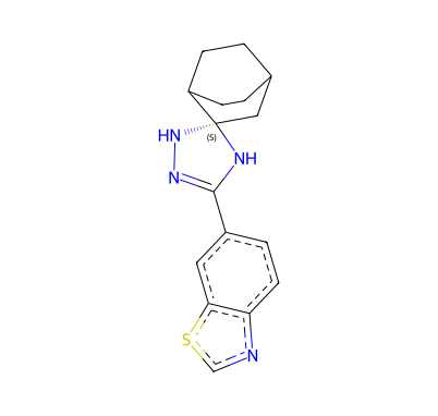 c1nc2ccc(C3=NN[C@]4(CC5CCC4CC5)N3)cc2s1